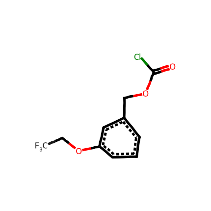 O=C(Cl)OCc1cccc(OCC(F)(F)F)c1